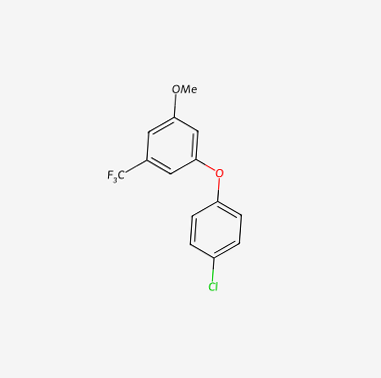 COc1cc(Oc2ccc(Cl)cc2)cc(C(F)(F)F)c1